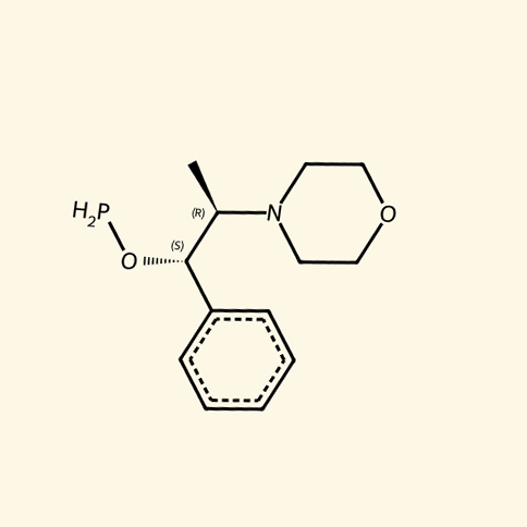 C[C@H]([C@@H](OP)c1ccccc1)N1CCOCC1